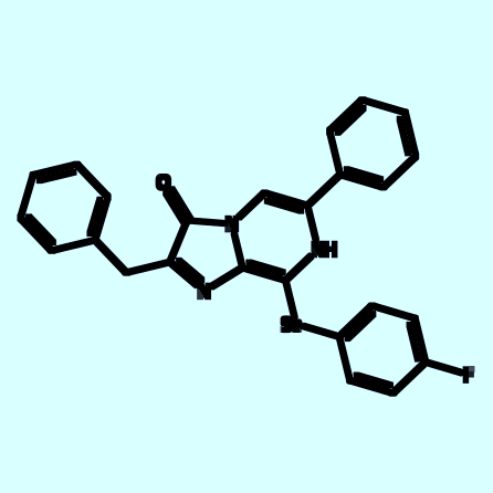 O=c1c(Cc2ccccc2)nc2c([Se]c3ccc(F)cc3)[nH]c(-c3ccccc3)cn1-2